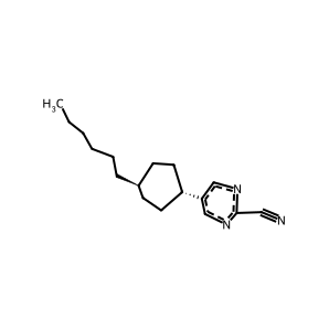 CCCCCC[C@H]1CC[C@H](c2cnc(C#N)nc2)CC1